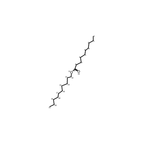 CCCCCCC[CH]CC(=O)OCCCCCCCCCC